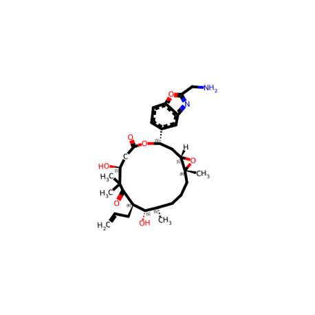 C=CC[C@H]1C(=O)C(C)(C)[C@@H](O)CC(=O)O[C@H](c2ccc3oc(CN)nc3c2)C[C@@H]2O[C@]2(C)CCC[C@H](C)[C@@H]1O